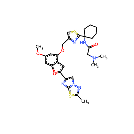 COc1cc(OCc2csc(C3(NC(=O)CN(C)C)CCCCC3)n2)c2cc(-c3cn4nc(C)sc4n3)oc2c1